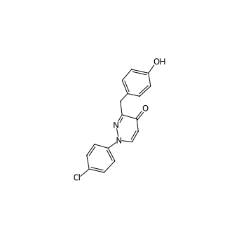 O=c1ccn(-c2ccc(Cl)cc2)nc1Cc1ccc(O)cc1